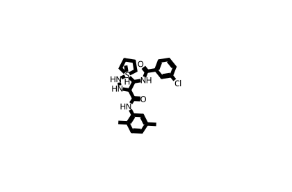 Cc1ccc(C)c(NC(=O)C2NN[SH]3(C)(CCCC3)C2NC(=O)c2cccc(Cl)c2)c1